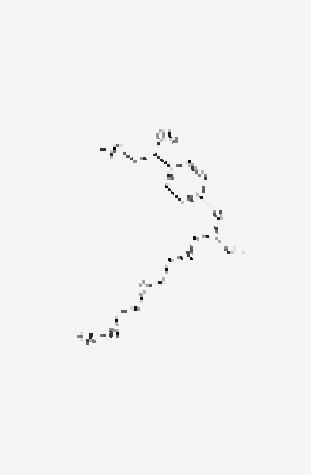 CCC(C)c1ccc(OC(C)CSCCSCCOC)cc1